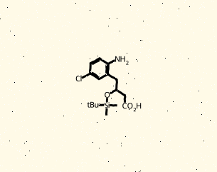 CC(C)(C)[Si](C)(C)OC(CC(=O)O)Cc1cc(Cl)ccc1N